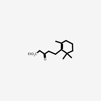 CCOC(=O)CC(=O)CCC1=C(C)CCCC1(C)C